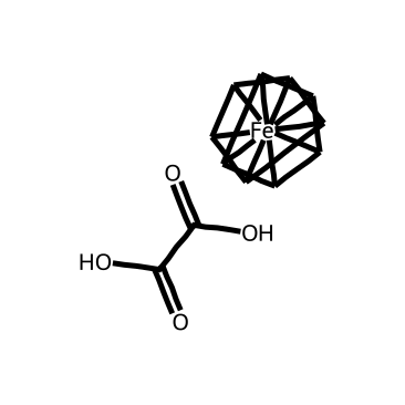 O=C(O)C(=O)O.[CH]12[CH]3[CH]4[CH]5[CH]1[Fe]23451678[CH]2[CH]1[CH]6[CH]7[CH]28